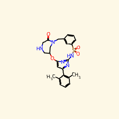 Cc1cccc(C)c1-c1cc2nc(n1)NS(=O)(=O)c1cccc(c1)CN1CC(CNCC1=O)O2